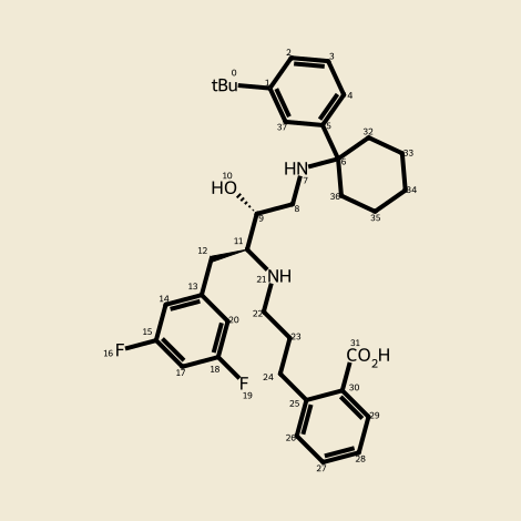 CC(C)(C)c1cccc(C2(NC[C@@H](O)[C@H](Cc3cc(F)cc(F)c3)NCCCc3ccccc3C(=O)O)CCCCC2)c1